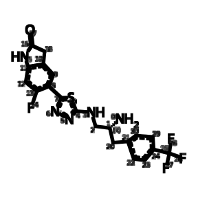 N[C@@H](CNc1nnc(-c2cc3c(cc2F)NC(=O)C3)s1)Cc1ccc(C(F)(F)F)cc1